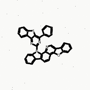 c1ccc(-c2nc(-n3c4ccccc4c4ccc5c(ncc6c7ccccc7oc65)c43)nc3c2sc2ccccc23)cc1